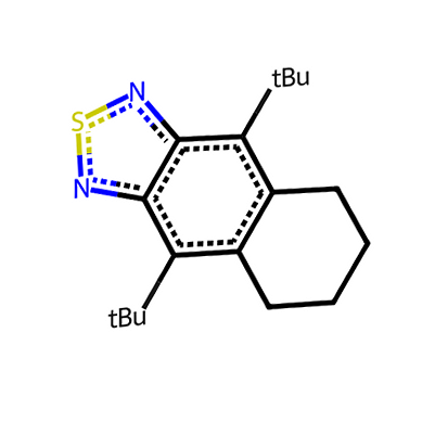 CC(C)(C)c1c2c(c(C(C)(C)C)c3nsnc13)CCCC2